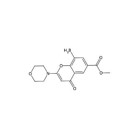 Bc1cc(C(=O)OC)cc2c(=O)cc(N3CCOCC3)oc12